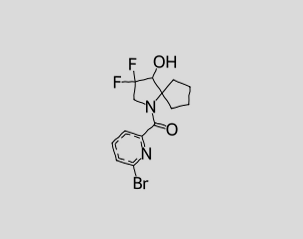 O=C(c1cccc(Br)n1)N1CC(F)(F)C(O)C12CCCC2